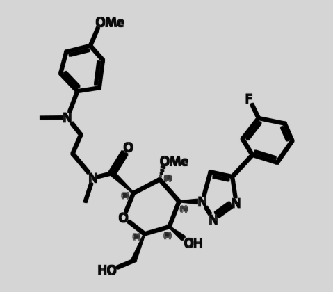 COc1ccc(N(C)CCN(C)C(=O)[C@@H]2O[C@H](CO)[C@H](O)[C@H](n3cc(-c4cccc(F)c4)nn3)[C@H]2OC)cc1